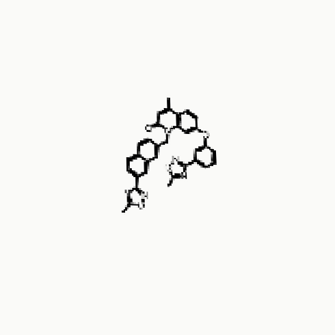 Cc1nc(-c2cccc(Oc3ccc4c(C)cc(=O)n(Cc5ccc6ccc(-c7noc(C)n7)cc6c5)c4c3)c2)no1